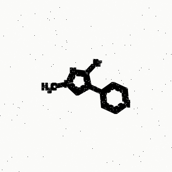 Cn1cc(-c2ccncc2)c(Br)n1